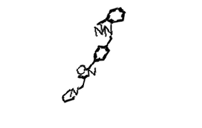 c1ccc2c(c1)cnn2Cc1ccc(-c2nc(CN3CCCC3)co2)cc1